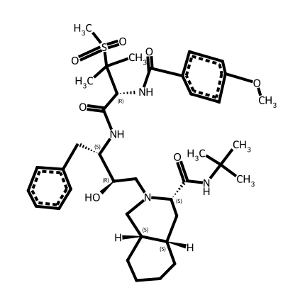 COc1ccc(C(=O)N[C@H](C(=O)N[C@@H](Cc2ccccc2)[C@H](O)CN2C[C@H]3CCCC[C@H]3C[C@H]2C(=O)NC(C)(C)C)C(C)(C)S(C)(=O)=O)cc1